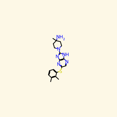 Cc1cccc(Sc2cnc3[nH]c(N4CCC(C)(N)CC4)nc3n2)c1C